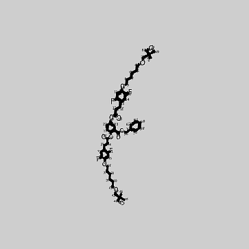 CC1(COCCCCCCOc2cc(F)c(CCC(=O)Oc3ccc(OC(=O)CCc4cc(F)c(OCCCCCCOCC5(C)COC5)cc4F)c(C(=O)OCc4ccccc4)c3)cc2F)COC1